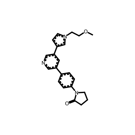 COCCn1ccc(-c2cncc(-c3ccc(N4CCCC4=O)cc3)c2)c1